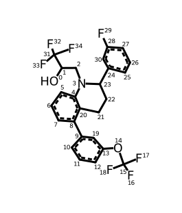 OC(CN1c2cccc(-c3cccc(OC(F)(F)F)c3)c2CCC1c1cccc(F)c1)C(F)(F)F